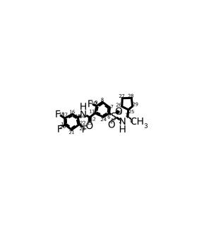 C[C@@H](NS(=O)(=O)c1ccc(F)c(C(=O)Nc2cc(F)c(F)cc2F)c1)C1CCCC1